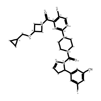 N#Cc1cc(F)cc(C2CC=NN2C(=O)N2CCN(c3ncc(F)c(C(=O)N4CC(OCC5CC5)C4)n3)CC2)c1